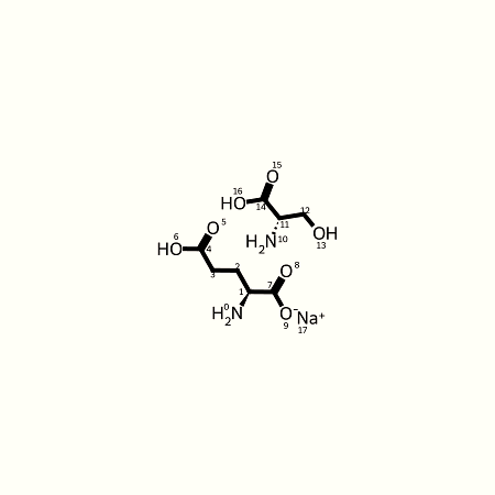 N[C@@H](CCC(=O)O)C(=O)[O-].N[C@@H](CO)C(=O)O.[Na+]